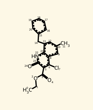 CCOC(=O)c1c(Cl)c2cc(C)cc(Cc3ccccc3)c2[nH]c1=O